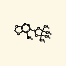 CC1(C)OB(c2ccc3c(c2N)OCO3)OC1(C)C